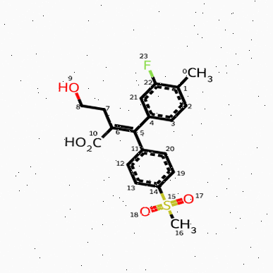 Cc1ccc(/C(=C(\CCO)C(=O)O)c2ccc(S(C)(=O)=O)cc2)cc1F